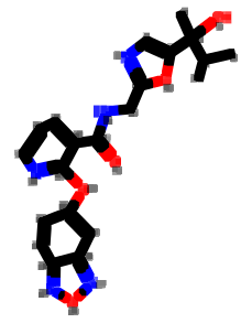 CC(C)C(C)(O)c1cnc(CNC(=O)c2cccnc2Oc2ccc3nonc3c2)o1